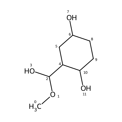 COC(O)C1CC(O)CCC1O